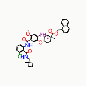 COc1cc(P)c(O[C@H]2CC[C@@](C)(C(=O)OCc3cccc4ccccc34)CC2)cc1C(=O)Nc1cccc(Cl)c1C(=O)NCC1(C)CCC1